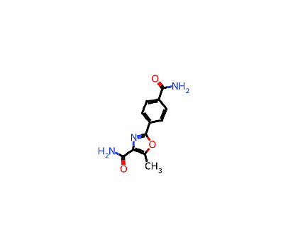 Cc1oc(-c2ccc(C(N)=O)cc2)nc1C(N)=O